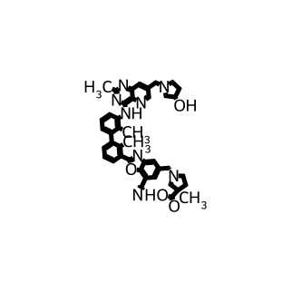 Cc1nc(Nc2cccc(-c3cccc(-c4nc5cc(CN6CCC(C)(C(=O)O)C6)cc(C#N)c5o4)c3C)c2C)c2ncc(CN3CCC(O)C3)cc2n1